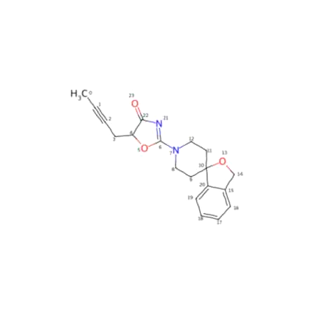 CC#CCC1OC(N2CCC3(CC2)OCc2ccccc23)=NC1=O